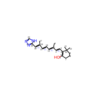 CC(/C=C/C1=C(O)CCCC1(C)C)=C\C=C\C(C)=C\c1nnc[nH]1